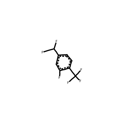 Fc1cc(C(F)F)ccc1C(F)(F)F